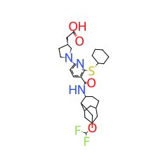 O=C(O)C[C@@H]1CCN(c2ccc(C(=O)NC3CCC4CC5C[C@@](OC(F)F)(C4)CC53)c(SC3CCCCC3)n2)C1